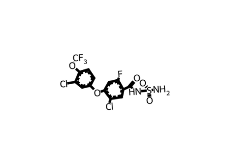 NS(=O)(=O)NC(=O)c1cc(Cl)c(Oc2ccc(OC(F)(F)F)c(Cl)c2)cc1F